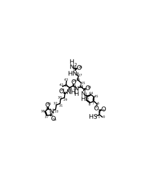 CC(S)C(=O)OCc1ccc(NC(=O)[C@H](CCCNC(N)=O)NC(=O)[C@@H](NC(=O)CCCCCN2C(=O)C=CC2=O)C(C)C)cc1